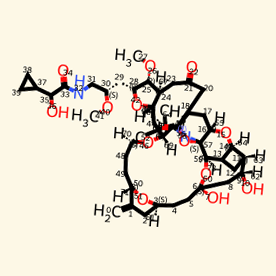 C=C1C[C@@H]2CC[C@@]3(O)C[C@@H](O)[C@@H]4CC5[C@H]4O[C@H]4CC[C@@H]6CC(=O)C[C@@H]7[C@@H](OC)[C@@H](C[C@@H](CNC(=O)C(O)C8CC8)OC)O[C@H]7C[C@H]7O[C@@H](CC[C@@H]1O2)C[C@@H](C)/C7=N/[C@@]4(O6)[C@@H]5O3